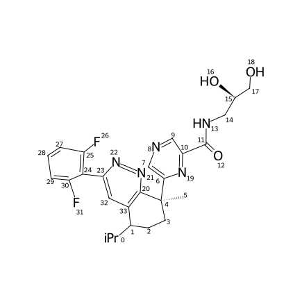 CC(C)C1CC[C@](C)(c2cncc(C(=O)NC[C@@H](O)CO)n2)c2nnc(-c3c(F)cccc3F)cc21